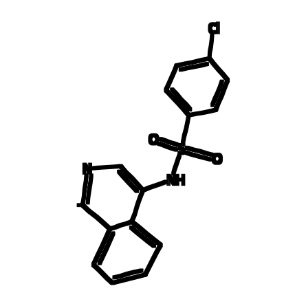 O=S(=O)(Nc1cn[c]c2ccccc12)c1ccc(Cl)cc1